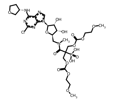 COCCOC(=O)OCC(COC(=O)OCCOC)(C(=O)N(C)C[C@H]1O[C@@H](n2cnc3c(N[C@H]4CCOC4)nc(Cl)nc32)[C@H](O)[C@@H]1O)P(=O)(O)O